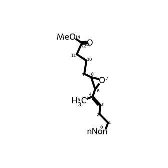 CCCCCCCCCCC/C=C(\C)C1OC1CCCC(=O)OC